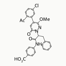 COc1nn(C(Cc2ccccc2)C(=O)Nc2ccc(C(=O)O)cc2)c(=O)cc1-c1cc(Cl)ccc1C(C)=O